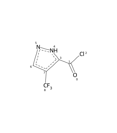 O=C(Cl)c1[nH]ncc1C(F)(F)F